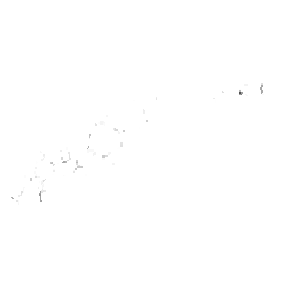 CCCCCCCC1CCC2CC(c3ccc(C(=O)Oc4ccc(C#N)c(F)c4)cc3)CCC2C1